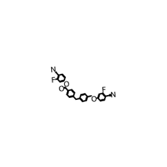 N#Cc1ccc(OCc2ccc(Cc3ccc(C(=O)Oc4ccc(C#N)c(F)c4)cc3)cc2)cc1F